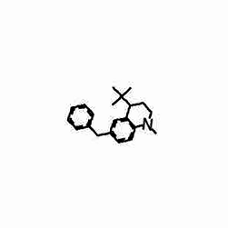 CN1CCC(C(C)(C)C)c2cc(Cc3ccccc3)ccc21